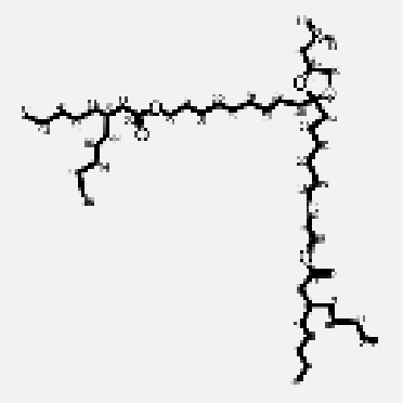 C=C(CC(CCCCC)CCCCC)OCCCCCCCCCC1(CCCCCCCCCOC(=O)CC(CCCCC)CCCCC)OCC(CN(C)C)O1